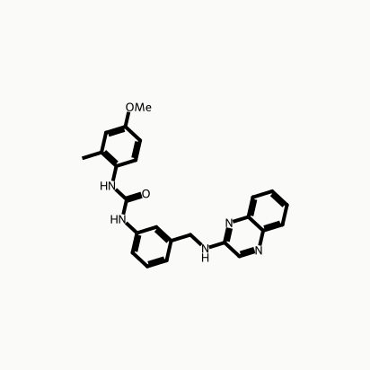 COc1ccc(NC(=O)Nc2cccc(CNc3cnc4ccccc4n3)c2)c(C)c1